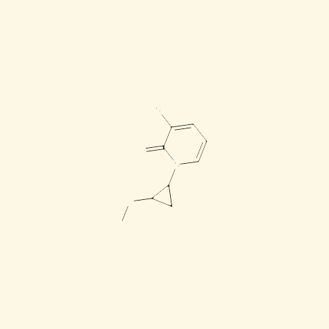 COC1CC1n1cccc(N)c1=O